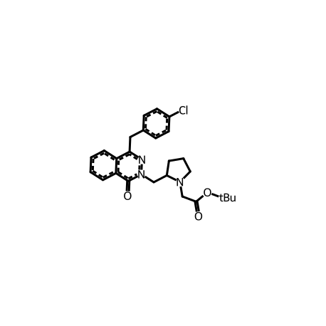 CC(C)(C)OC(=O)CN1CCCC1Cn1nc(Cc2ccc(Cl)cc2)c2ccccc2c1=O